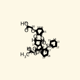 CC(=O)OCC=C[C@]1(O[SiH](c2ccccc2)c2ccccc2)[C@@H]2Oc3cccc(OCC(=O)O)c3O[C@H]2C[C@@H]1C(C)(C)C